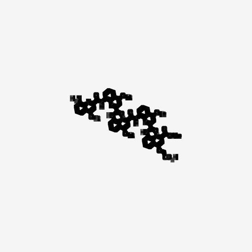 CCOc1cc(C(=O)Nc2cccc3c(OCC)cc(C(=O)Nc4cccc5c(OCC)cc(C(=O)Nc6cccc7c(OCC)cc(C(=O)Nc8cccc9c(OCC(=O)O)cc(C(=O)OC)nc89)nc67)nc45)nc23)nc2c(N)cccc12